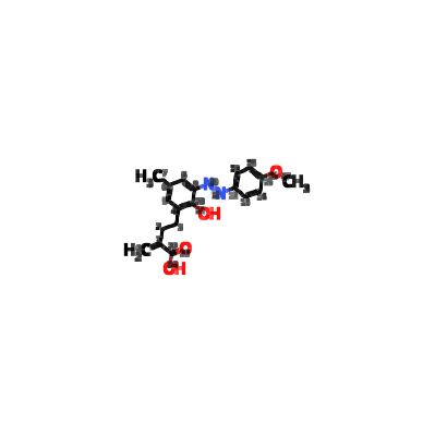 C=C(CCc1cc(C)cc(N=Nc2ccc(OC)cc2)c1O)C(=O)O